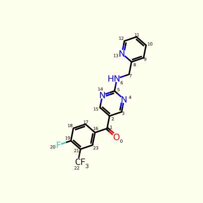 O=C(c1cnc(NCc2ccccn2)nc1)c1ccc(F)c(C(F)(F)F)c1